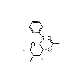 CC(=O)O[C@@H]1[C@H](C)[C@@H](C)[C@H](C)O[C@H]1Sc1ccccc1